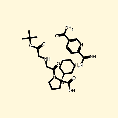 CC(C)(C)OC(=O)CNCC(=O)N1CCC[C@]1(C(=O)O)C1CCCCC1.N=C(N)c1ccc(C(N)=O)cn1